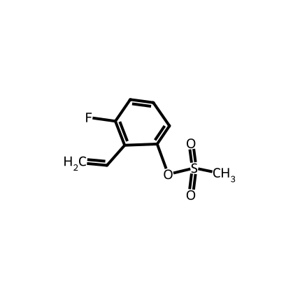 C=Cc1c(F)cccc1OS(C)(=O)=O